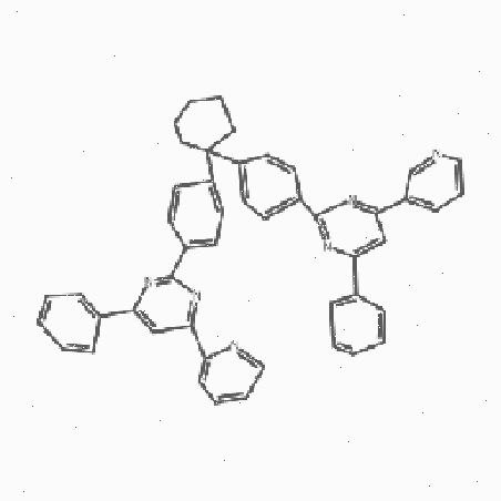 c1ccc(-c2cc(-c3cccnc3)nc(-c3ccc(C4(c5ccc(-c6nc(-c7ccccc7)cc(-c7ccccn7)n6)cc5)CCCCC4)cc3)n2)cc1